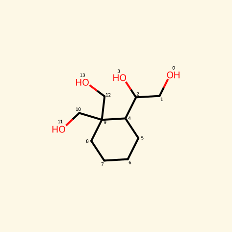 OCC(O)C1CCCCC1(CO)CO